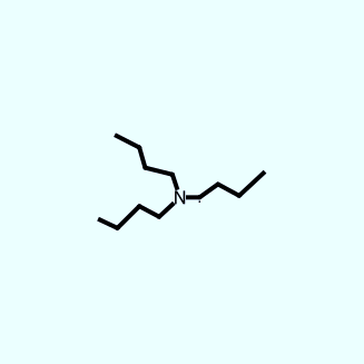 CCC[CH]N(CCCC)CCCC